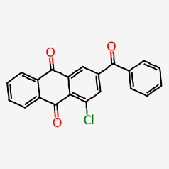 O=C(c1ccccc1)c1cc(Cl)c2c(c1)C(=O)c1ccccc1C2=O